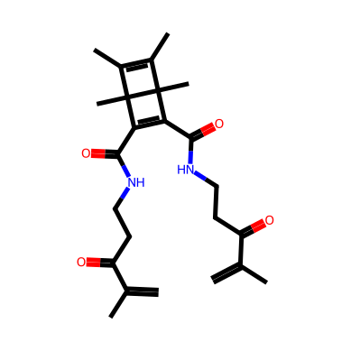 C=C(C)C(=O)CCNC(=O)C1=C(C(=O)NCCC(=O)C(=C)C)C2(C)C(C)=C(C)C12C